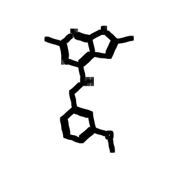 COc1cccc(CNc2nc(C)nc3sc(C)cc23)c1